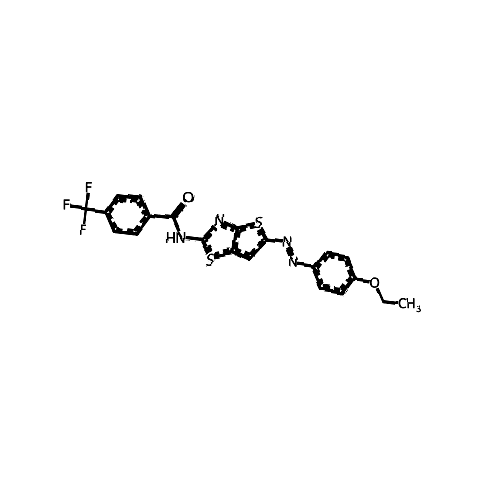 CCOc1ccc(N=Nc2cc3sc(NC(=O)c4ccc(C(F)(F)F)cc4)nc3s2)cc1